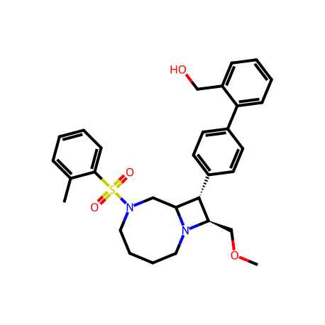 COC[C@@H]1[C@@H](c2ccc(-c3ccccc3CO)cc2)C2CN(S(=O)(=O)c3ccccc3C)CCCCN21